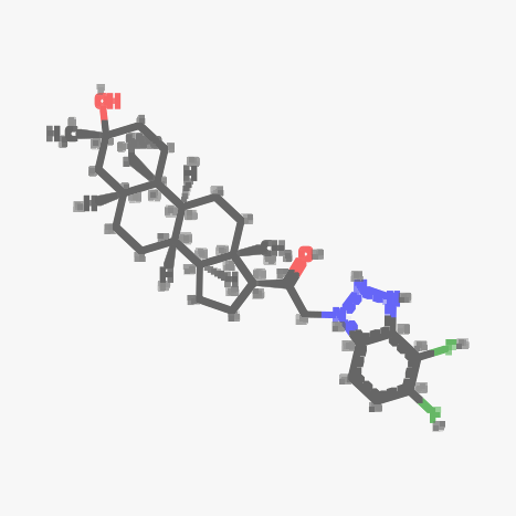 CSC[C@]12CC[C@@](C)(O)C[C@H]1CC[C@H]1[C@@H]3CC[C@H](C(=O)Cn4nnc5c(F)c(F)ccc54)[C@@]3(C)CC[C@@H]12